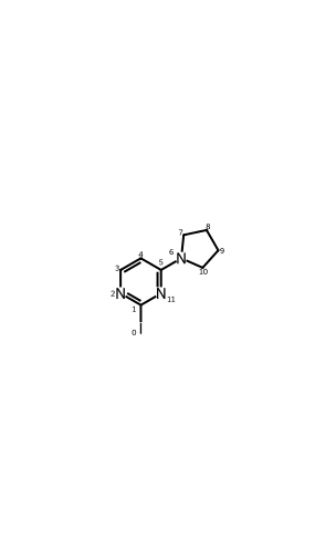 Ic1nccc(N2CCCC2)n1